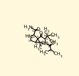 CC(C)C(=O)NC(C(=O)C12C(C(N)=O)NCC1C2(C)C)C(C)(C)C